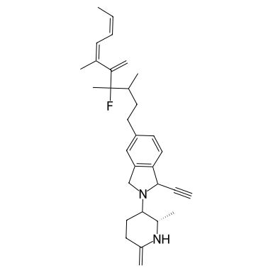 C#CC1c2ccc(CCC(C)C(C)(F)C(=C)/C(C)=C\C=C/C)cc2CN1C1CCC(=C)N[C@H]1C